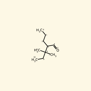 CCCC(C=O)C(C)(C)CC